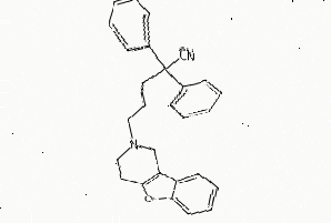 N#CC(CCCN1CCc2oc3ccccc3c2C1)(c1ccccc1)c1ccccc1